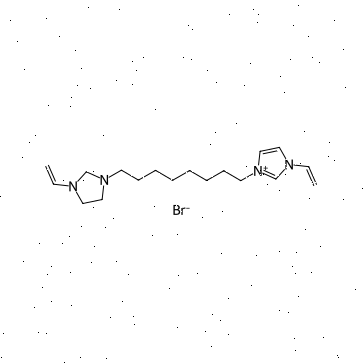 C=CN1CCN(CCCCCCCC[n+]2ccn(C=C)c2)C1.[Br-]